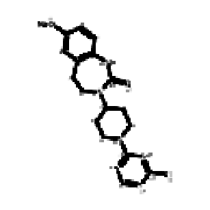 COc1ccc2c(c1)CCN(C1CCN(c3ncnc(Cl)n3)CC1)C(=O)N2